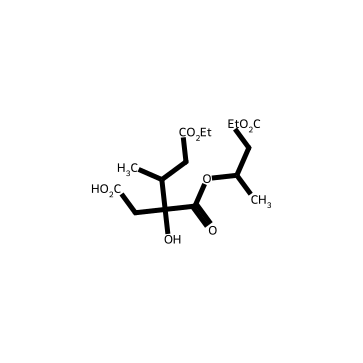 CCOC(=O)CC(C)OC(=O)C(O)(CC(=O)O)C(C)CC(=O)OCC